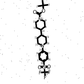 CC(C)(C)OC(=O)N1CCC(C2CCN(c3ccc(S(=O)(=O)C(F)(F)F)cc3)CC2)CC1